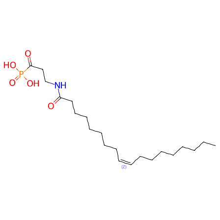 CCCCCCCC/C=C\CCCCCCCC(=O)NCCC(=O)P(=O)(O)O